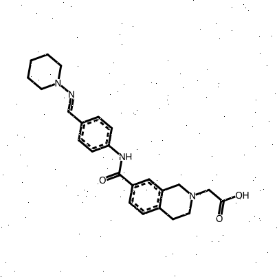 O=C(O)CN1CCc2ccc(C(=O)Nc3ccc(C=NN4CCCCC4)cc3)cc2C1